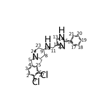 Clc1ccc(CN2CCC(NCc3c[nH]c(-c4ccccc4)n3)CC2)cc1Cl